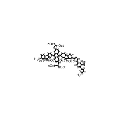 CCCCCCCCC(CCCCCCCC)Cc1ccc2c(-c3ccc4c(c3)C(CCCCCCCC)(CCCCCCCC)c3cc(-c5ccc(-c6ccc(-c7ccc(C)s7)c7nsnc67)s5)ccc3-4)c3cc(CC(CCCCCCCC)CCCCCCCC)ccc3c(-c3ccc4c(c3)C(CCCCCCCC)(CCCCCCCC)c3cc(C)ccc3-4)c2c1